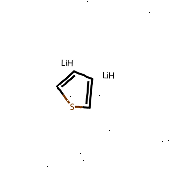 [LiH].[LiH].c1ccsc1